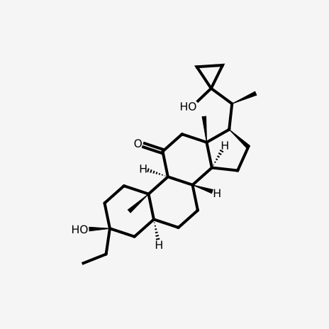 CC[C@]1(O)CC[C@@]2(C)[C@@H](CC[C@H]3[C@@H]4CC[C@H]([C@H](C)C5(O)CC5)[C@@]4(C)CC(=O)[C@@H]32)C1